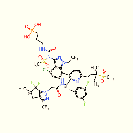 C[C@@H]1Cc2c(C(F)(F)F)nn(CC(=O)N[C@@H](Cc3cc(F)cc(F)c3)c3nc(CCC(C)(C)S(C)(=O)=O)ccc3-c3ccc(Cl)c4c(N(C(=O)NCCCP(=O)(O)O)S(C)(=O)=O)nn(CC(F)(F)F)c34)c2C1(F)F